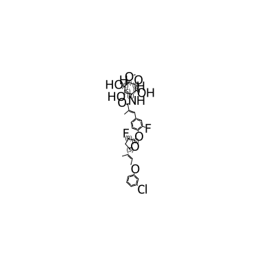 CC(=Cc1ccc(O[C@@H]2O[C@H](C(C)=CCOc3cccc(Cl)c3)C[C@H]2F)c(F)c1)C(=O)N[C@@H]1[C@H](O)[C@@H](O)[C@H]2OCO[C@H]2[C@@H]1O